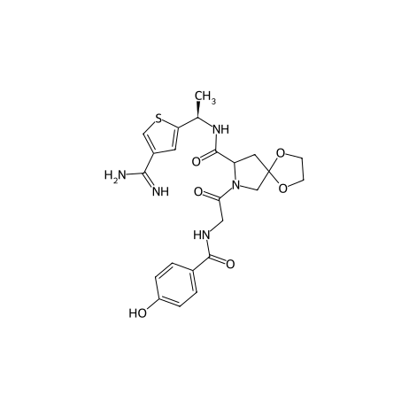 C[C@@H](NC(=O)C1CC2(CN1C(=O)CNC(=O)c1ccc(O)cc1)OCCO2)c1cc(C(=N)N)cs1